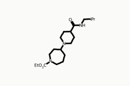 CCOC(=O)N1CCCC(N2CCC(C(=O)NCC(C)C)CC2)CC1